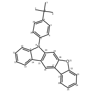 CC(C)(C)c1ccc(-n2c3ccccc3c3cc4c(cc32)oc2ccccc24)cc1